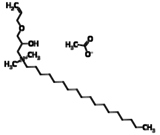 C=CCOCC(O)C[N+](C)(C)CCCCCCCCCCCCCCCCCC.CC(=O)[O-]